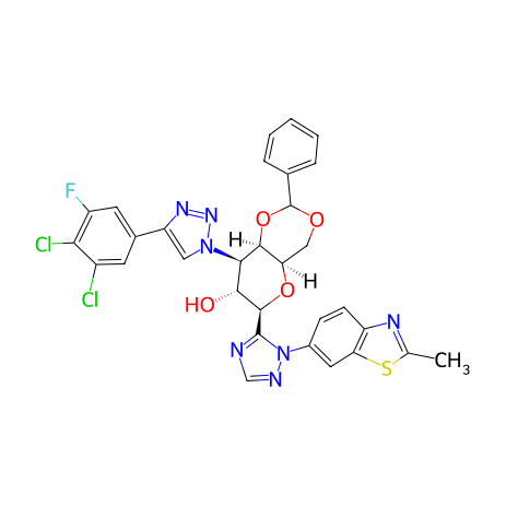 Cc1nc2ccc(-n3ncnc3[C@@H]3O[C@@H]4COC(c5ccccc5)O[C@@H]4[C@H](n4cc(-c5cc(F)c(Cl)c(Cl)c5)nn4)[C@H]3O)cc2s1